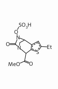 CCc1cc2c(s1)C(C(=O)OC)N1CC2N(OS(=O)(=O)O)C1=O